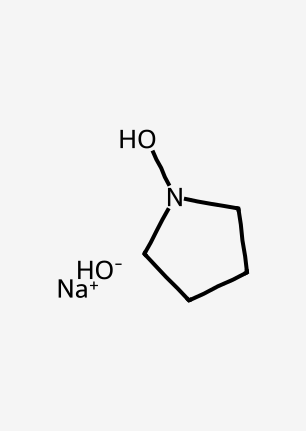 ON1CCCC1.[Na+].[OH-]